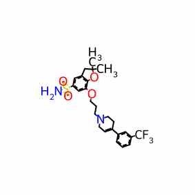 CC1(C)Cc2cc(S(N)(=O)=O)cc(OCCCN3CC=C(c4cccc(C(F)(F)F)c4)CC3)c2O1